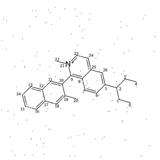 CCC(CC)c1ccc2c(-c3cc4ccccc4cc3C)[n+](C)ccc2c1